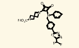 O=C(O)N1CC2(C1)CN(c1c(N(Cc3ccc(-c4nnc(C(F)F)o4)cc3)c3ccccc3)c(=O)c1=O)C2